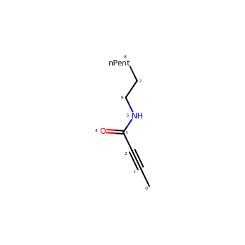 CC#CC(=O)NCCCCCCC